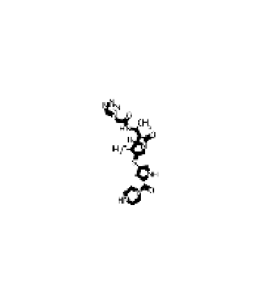 C[C@@H](NC(=O)Cn1cnnn1)[C@H]1C(=O)N2C=C(S[C@@H]3CN[C@H](C(=O)N4CCNCC4)C3)[C@H](C)[C@H]12